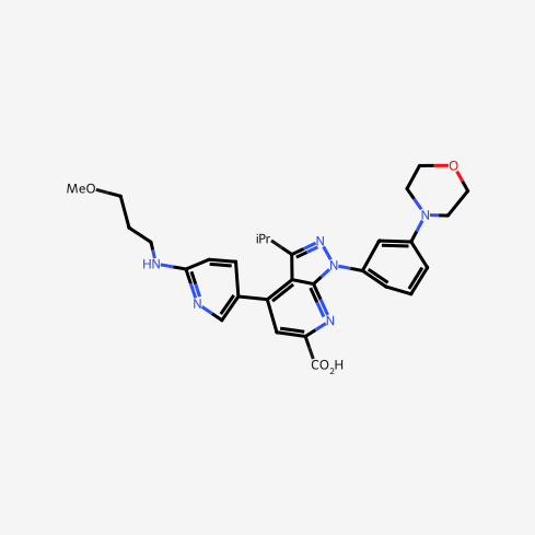 COCCCNc1ccc(-c2cc(C(=O)O)nc3c2c(C(C)C)nn3-c2cccc(N3CCOCC3)c2)cn1